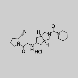 Cl.N#CC1CCCN1C(=O)CNC1C[C@@H]2CN(C(=O)N3CCCCC3)C[C@@H]2C1